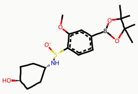 COc1cc(B2OC(C)(C)C(C)(C)O2)ccc1[S+]([O-])N[C@H]1CC[C@H](O)CC1